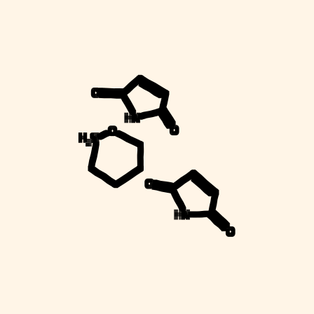 C1CC[SiH2]OC1.O=C1C=CC(=O)N1.O=C1C=CC(=O)N1